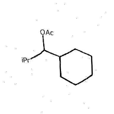 CC(=O)OC(C(C)C)C1CCCCC1